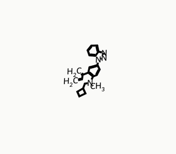 C=CC(=C)c1cc(-n2nnc3ccccc32)ccc1N(C)CC1CCC1